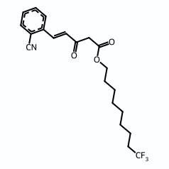 N#Cc1ccccc1C=CC(=O)CC(=O)OCCCCCCCCC(F)(F)F